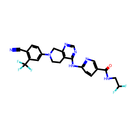 N#Cc1ccc(N2CCc3c(ncnc3Nc3ccc(C(=O)NCC(F)F)cn3)C2)cc1C(F)(F)F